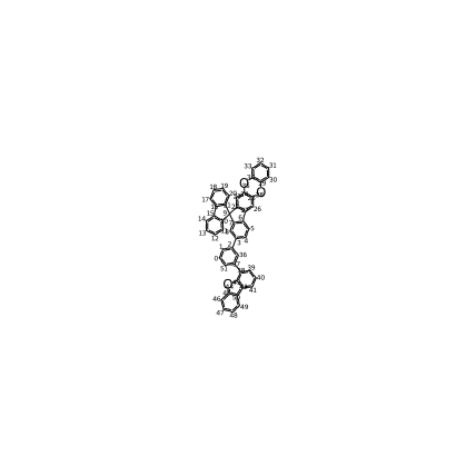 c1cc(-c2ccc3c(c2)C2(c4ccccc4-c4ccccc42)c2cc4c(cc2-3)Oc2ccccc2O4)cc(-c2cccc3c2oc2ccccc23)c1